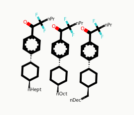 CCCCCCCCCCC[C@H]1CC[C@H](c2ccc(C(=O)C(F)(F)CCC)cc2)CC1.CCCCCCCC[C@H]1CC[C@H](c2ccc(C(=O)C(F)(F)CCC)cc2)CC1.CCCCCCC[C@H]1CC[C@H](c2ccc(C(=O)C(F)(F)CCC)cc2)CC1